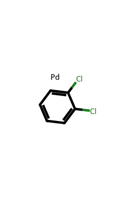 Clc1ccccc1Cl.[Pd]